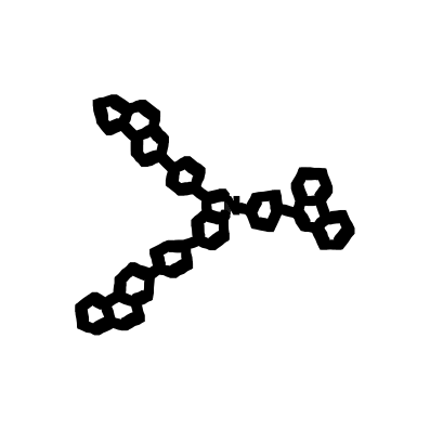 c1ccc2c(c1)ccc1cc(-c3ccc(-c4ccc5c(c4)c(-c4ccc(-c6ccc7c(ccc8ccccc87)c6)cc4)cn5-c4ccc(-c5cc6ccccc6c6ccccc56)cc4)cc3)ccc12